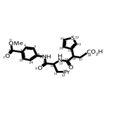 COC(=O)c1ccc(NC(=O)C(CC(C)C)NC(=O)C(CC(=O)O)c2ccsc2)cc1